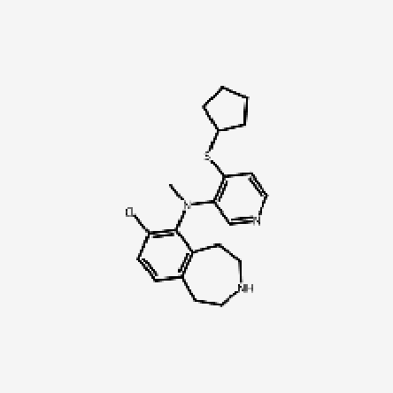 CN(c1cnccc1SC1CCCC1)c1c(Cl)ccc2c1CCNCC2